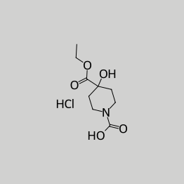 CCOC(=O)C1(O)CCN(C(=O)O)CC1.Cl